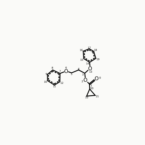 O=C(OC(CCOc1ccccc1)Oc1ccccc1)C1CC1